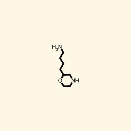 NCCCCC1CNCCO1